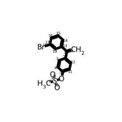 C=C(c1ccc(OS(C)(=O)=O)cc1)c1cccc(Br)c1